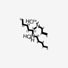 C=CCN(C)C.CCCCCNCCCCC.Cl.Cl